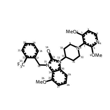 COc1ccnc(OC)c1N1CCC(n2c(=O)n(Cc3ccccc3C(F)(F)F)c3c(OC)cccc32)CC1